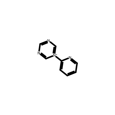 c1ccc(-[n+]2cncnc2)nc1